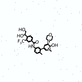 Cc1ccc(NC(=O)c2ccc(C(O)CO)c(C(F)(F)F)c2)cc1C1=CN(C)C(O)C(N2CCOCC2)=C1